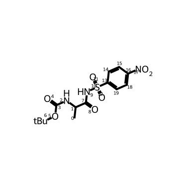 CC(NC(=O)OC(C)(C)C)C(=O)NS(=O)(=O)c1ccc([N+](=O)[O-])cc1